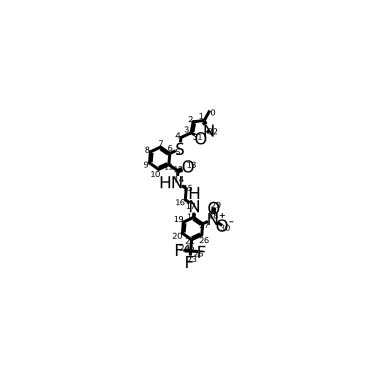 Cc1cc(CSc2ccccc2C(=O)NCCNc2ccc(C(F)(F)F)cc2[N+](=O)[O-])on1